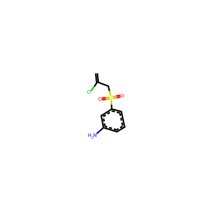 C=C(Cl)CS(=O)(=O)c1cccc(N)c1